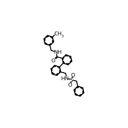 Cc1cccc(CNC(=O)c2ccccc2-c2ccccc2CNS(=O)(=O)Cc2ccccc2)c1